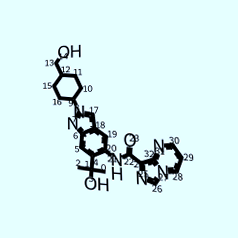 CC(C)(O)c1cc2nn(C3CCC(CO)CC3)cc2cc1NC(=O)c1ncn2cccnc12